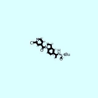 CC(N[S@+]([O-])C(C)(C)C)c1ccc2c(c1)CCN2C(=O)c1ccnc(Cl)c1